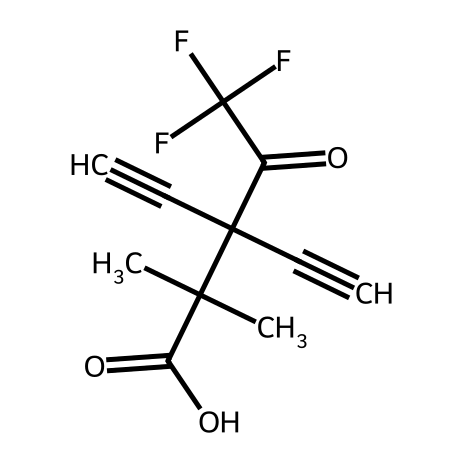 C#CC(C#C)(C(=O)C(F)(F)F)C(C)(C)C(=O)O